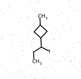 CCC(I)C1CC(C)C1